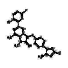 Cc1nc(-c2cc(F)ccc2C(C)C)nc2c1n(C)c(=N)n2Cc1ccc(-c2nc(Cl)cn2C)cc1